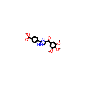 COC(=O)c1ccc(C2=NC(C(=O)c3cc(OC)c(OC)c(OC)c3)CN2)cc1